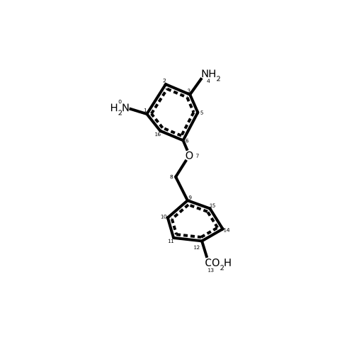 Nc1cc(N)cc(OCc2ccc(C(=O)O)cc2)c1